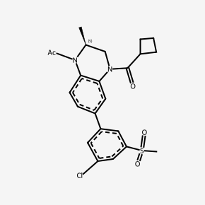 CC(=O)N1c2ccc(-c3cc(Cl)cc(S(C)(=O)=O)c3)cc2N(C(=O)C2CCC2)C[C@@H]1C